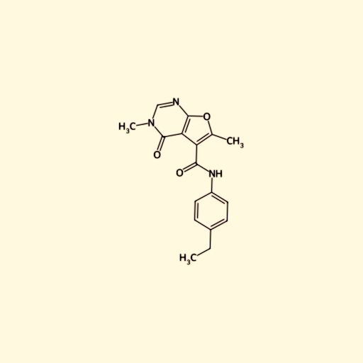 CCc1ccc(NC(=O)c2c(C)oc3ncn(C)c(=O)c23)cc1